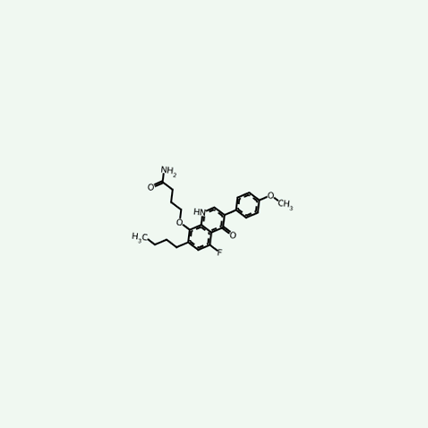 CCCCc1cc(F)c2c(=O)c(-c3ccc(OC)cc3)c[nH]c2c1OCCCC(N)=O